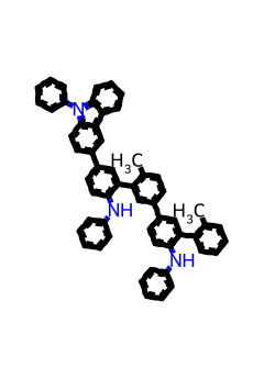 Cc1ccccc1-c1cc(-c2ccc(C)c(-c3cc(-c4ccc5c(c4)c4ccccc4n5-c4ccccc4)ccc3Nc3ccccc3)c2)ccc1Nc1ccccc1